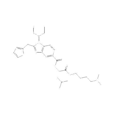 CCC(CC)n1c(Cc2cccs2)nc2cc(C(=O)N[C@@H](CC(C)C)C(=O)NCCCCN(C)C)ccc21